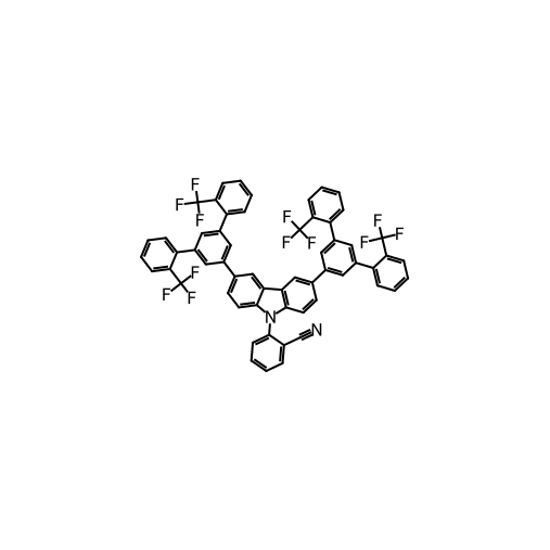 N#Cc1ccccc1-n1c2ccc(-c3cc(-c4ccccc4C(F)(F)F)cc(-c4ccccc4C(F)(F)F)c3)cc2c2cc(-c3cc(-c4ccccc4C(F)(F)F)cc(-c4ccccc4C(F)(F)F)c3)ccc21